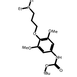 CCN(CC)CCCOc1c(OC)cc(NC(=O)OC(C)(C)C)cc1OC